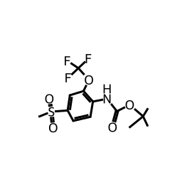 CC(C)(C)OC(=O)Nc1ccc(S(C)(=O)=O)cc1OC(F)(F)F